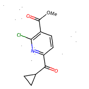 COC(=O)c1ccc(C(=O)C2CC2)nc1Cl